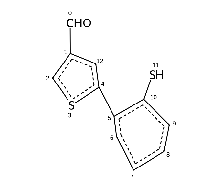 O=Cc1csc(-c2ccccc2S)c1